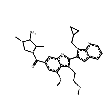 COCCn1c(-c2cc3cccnc3n2CC2CC2)nc2cc(C(=O)N3C[C@@H](C)[C@@H](N)C3C)cc(OC)c21